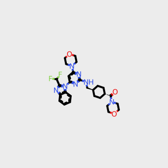 O=C([C@H]1CC[C@H](CNc2nc(N3CCOCC3)cc(-n3c(C(F)F)nc4ccccc43)n2)CC1)N1CCOCC1